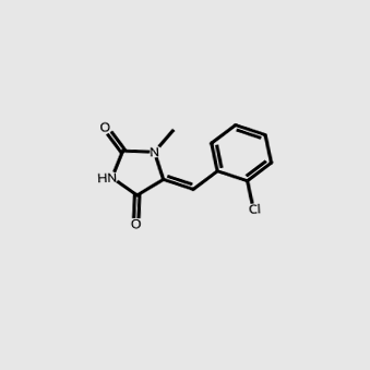 CN1C(=O)NC(=O)C1=Cc1ccccc1Cl